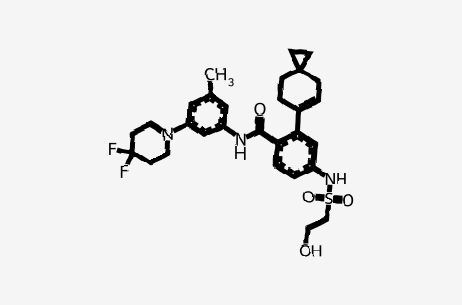 Cc1cc(NC(=O)c2ccc(NS(=O)(=O)CCO)cc2C2=CCC3(CC2)CC3)cc(N2CCC(F)(F)CC2)c1